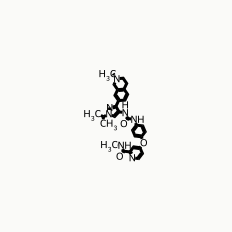 CNC(=O)c1cc(Oc2ccc(NC(=O)Nc3cn(C(C)C)nc3-c3ccc4c(c3)CN(C)CC4)cc2)ccn1